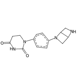 O=C1CCN(c2ccc(N3CC4NCC43)cc2)C(=O)N1